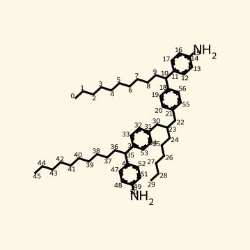 CCCCCCCCCCC(c1ccc(N)cc1)c1ccc(CC(CCCCCC)Cc2ccc(C(CCCCCCCCCC)c3ccc(N)cc3)cc2)cc1